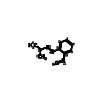 CC(C)SSc1ccccc1N=O